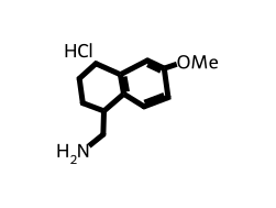 COc1ccc2c(c1)CCCC2CN.Cl